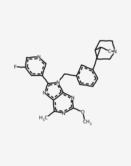 COc1nc(C)c2nc(-c3cncc(F)c3)n(Cc3cccc(C4CN5CCC4CC5)c3)c2n1